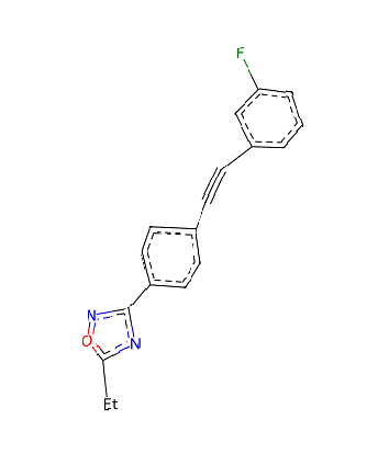 CCc1nc(-c2ccc(C#Cc3cccc(F)c3)cc2)no1